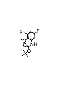 COc1c(Br)cc(F)cc1NC(=O)OC(C)(C)C